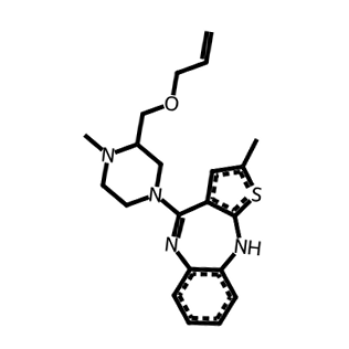 C=CCOCC1CN(C2=Nc3ccccc3Nc3sc(C)cc32)CCN1C